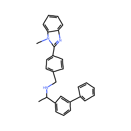 CC(NCc1ccc(-c2nc3ccccc3n2C)cc1)c1cccc(-c2ccccc2)c1